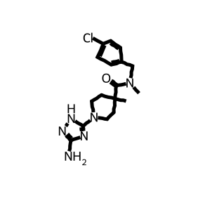 CN(Cc1ccc(Cl)cc1)C(=O)C1(C)CCN(c2nc(N)n[nH]2)CC1